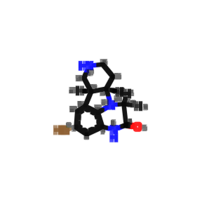 Br.[2H]C1([2H])C(=O)Nc2cccc3c2N1[C@H]1CCNC[C@@H]31